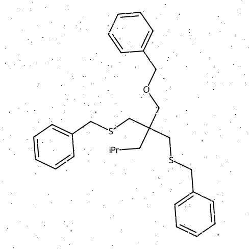 CC(C)CC(COCc1ccccc1)(CSCc1ccccc1)CSCc1ccccc1